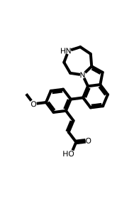 COc1ccc(-c2cccc3cc4n(c23)CCNCC4)c(C=CC(=O)O)c1